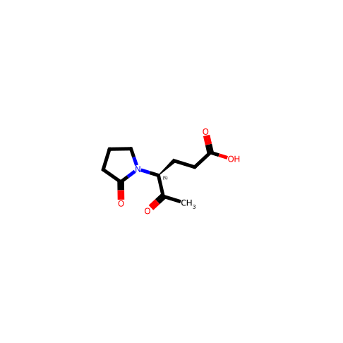 CC(=O)[C@H](CCC(=O)O)N1CCCC1=O